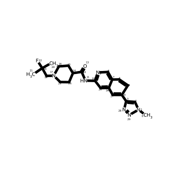 Cn1cc(-c2ccc3cnc(NC(=O)C4CCN(CC(C)(C)F)CC4)cc3c2)nn1